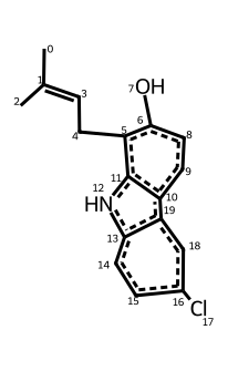 CC(C)=CCc1c(O)ccc2c1[nH]c1ccc(Cl)cc12